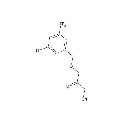 N#CCC(=O)COCc1cc(Cl)cc(C(F)(F)F)c1